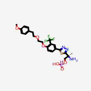 COc1ccc(CCOCCOc2ccc(-c3nnc([C@@](C)(N)CO[PH](=O)O)s3)cc2C(F)(F)F)cc1